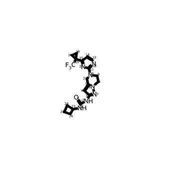 O=C(Nc1cc2n(n1)CCN(c1nccc(C3(C(F)(F)F)CC3)n1)C2)NC1CCC1